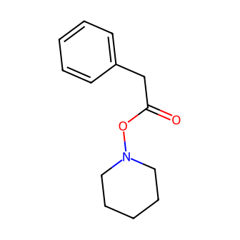 O=C(Cc1ccccc1)ON1CCCCC1